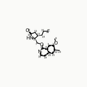 COc1cc2c(OC[C@H]3NC(=O)C[C@H]3CCF)nccc2cc1C